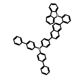 c1ccc(-c2ccc(N(c3ccc(-c4ccccc4)cc3)c3ccc(-c4ccc5cc(-c6ccccc6-n6c7ccccc7c7ccccc76)ccc5c4)cc3)cc2)cc1